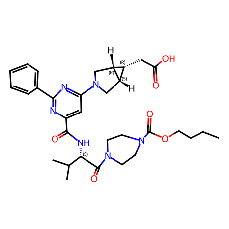 CCCCOC(=O)N1CCN(C(=O)[C@@H](NC(=O)c2cc(N3C[C@@H]4[C@H](CC(=O)O)[C@@H]4C3)nc(-c3ccccc3)n2)C(C)C)CC1